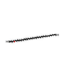 OCCCCCCCCCCCCCCCCCCCCCCCCCCCCCCCCCCCCCCCCCCO